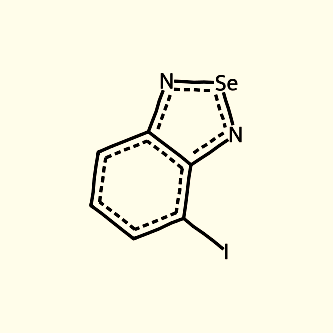 Ic1cccc2n[se]nc12